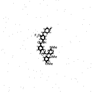 CNc1nccc(N(C(=O)Oc2cc(C(=O)Nc3ccc(CN4CCN(C)CC4)c(C(F)(F)F)c3)ccc2C)c2ccc(OC)cc2OC)n1